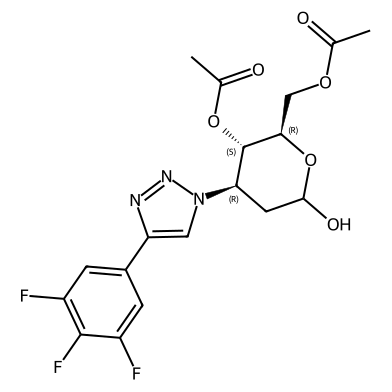 CC(=O)OC[C@H]1OC(O)C[C@@H](n2cc(-c3cc(F)c(F)c(F)c3)nn2)[C@@H]1OC(C)=O